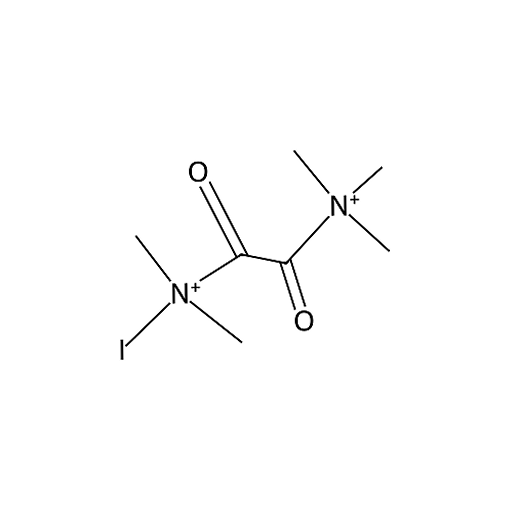 C[N+](C)(C)C(=O)C(=O)[N+](C)(C)I